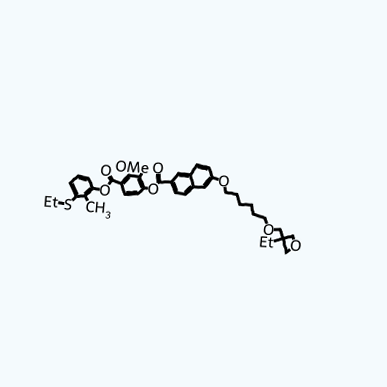 CCSc1cccc(OC(=O)c2ccc(OC(=O)c3ccc4cc(OCCCCCCOCC5(CC)COC5)ccc4c3)c(OC)c2)c1C